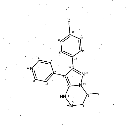 CC1CNNc2c(-c3ccncc3)c(-c3ccc(F)cc3)nn21